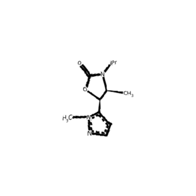 CC(C)N1C(=O)O[C@H](c2ccnn2C)[C@@H]1C